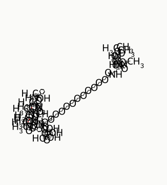 CCCNC(=O)[C@H](CCCCNC(=O)CCOCCOCCOCCOCCOCCOCCOCCOCCOCCOCCOCCOC(=O)Nc1cc(COC(=O)N(C)[C@H](C(=O)N[C@H](C(=O)N(C)[C@@H]([C@@H](C)CC)[C@@H](CC(=O)N2CCC[C@H]2[C@H](OC)[C@@H](C)C(=O)N[C@H](C)[C@@H](O)c2ccccc2)OC)C(C)C)C(C)C)ccc1O[C@@H]1O[C@@H](C(=O)O)[C@@H](O)[C@H](O)[C@H]1O)NC(=O)[C@H](CNC(=O)OC(C)(C)C)N1C(=O)C=CC1=O